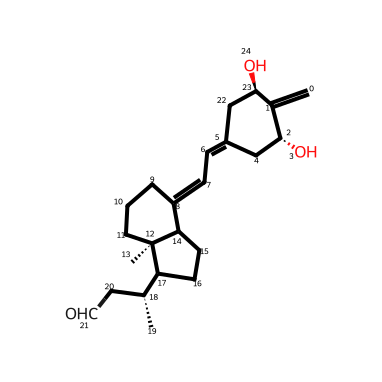 C=C1[C@H](O)CC(=C/C=C2\CCC[C@@]3(C)C2CCC3[C@H](C)CC=O)C[C@H]1O